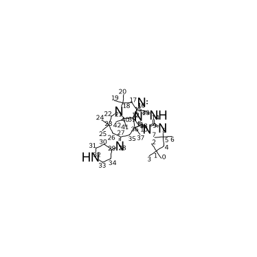 CC(C)(C)CC(C)(C)N=c1nc2nc([nH]1)C1([N])CC(C)(C)N3CC(C)(C)CC(=NC4CCNCC4)CC(C)(C)C21C3(C)C